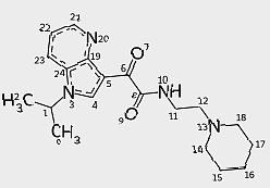 CC(C)n1cc(C(=O)C(=O)NCCN2CCCCC2)c2ncccc21